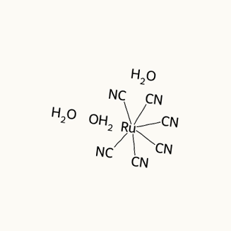 N#[C][Ru]([C]#N)([C]#N)([C]#N)([C]#N)[C]#N.O.O.O